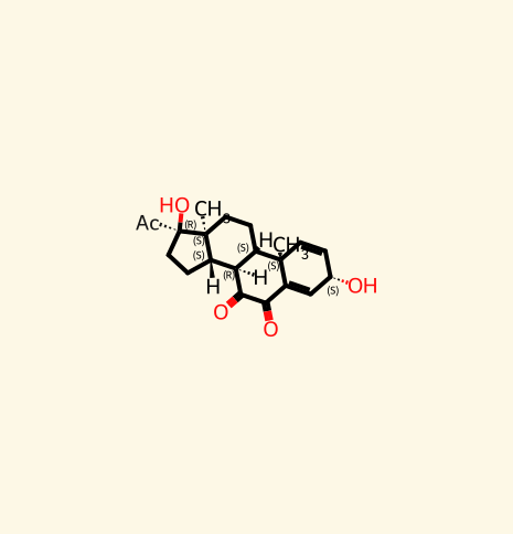 CC(=O)[C@@]1(O)CC[C@H]2[C@@H]3C(=O)C(=O)C4=C[C@@H](O)C=C[C@]4(C)[C@H]3CC[C@@]21C